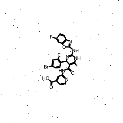 CC1=C(C(=O)Nc2cc(C(=O)O)ccn2)C(c2ccc(Br)cc2Cl)N=C(Nc2nc3ccc(F)cc3o2)N1